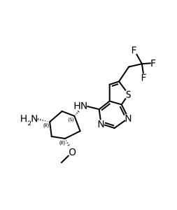 CO[C@@H]1C[C@H](N)C[C@H](Nc2ncnc3sc(CC(F)(F)F)cc23)C1